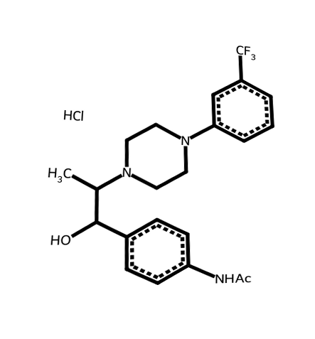 CC(=O)Nc1ccc(C(O)C(C)N2CCN(c3cccc(C(F)(F)F)c3)CC2)cc1.Cl